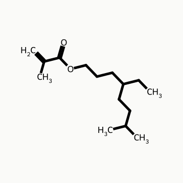 C=C(C)C(=O)OCCCC(CC)CCC(C)C